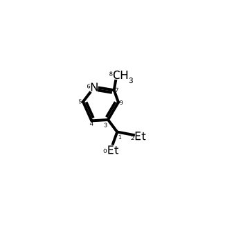 CCC(CC)c1ccnc(C)c1